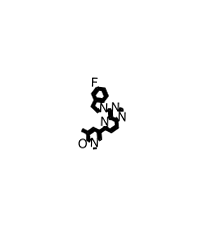 Cc1cc(-c2ccc3ncnc(N4CCc5cc(F)ccc54)c3n2)cn(C)c1=O